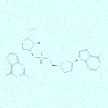 Nc1nc2c(ncn2[C@@H]2O[C@H](CO)[C@@H](O)[C@H]2OP(=O)(O)OC[C@H]2O[C@@H](n3ccc4c(Cl)ncnc43)[C@H](O)[C@@H]2O)c(=O)[nH]1